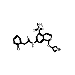 NS(=O)(=O)c1cc(NC(=O)Cc2ccccc2Cl)cc2c(OC3CNC3)nccc12